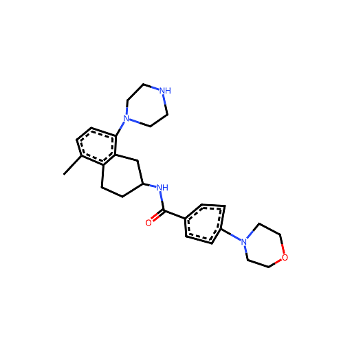 Cc1ccc(N2CCNCC2)c2c1CCC(NC(=O)c1ccc(N3CCOCC3)cc1)C2